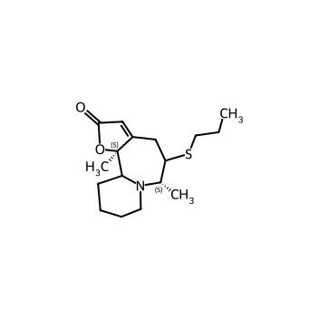 CCCSC1CC2=CC(=O)O[C@]2(C)C2CCCCN2[C@H]1C